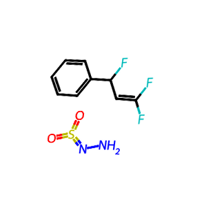 FC(F)=CC(F)c1ccccc1.NN=S(=O)=O